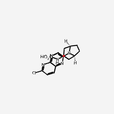 O=C(O)N[C@H]1C[C@H]2CC[C@@H](C1)N2c1cnc2nc(Cl)ccc2n1